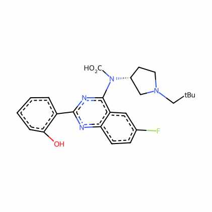 CC(C)(C)CN1CC[C@@H](N(C(=O)O)c2nc(-c3ccccc3O)nc3ccc(F)cc23)C1